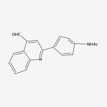 CC(=O)Nc1ccc(-c2cc(C=O)c3ccccc3n2)cc1